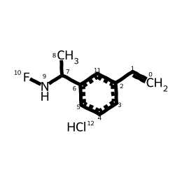 C=Cc1cccc(C(C)NF)c1.Cl